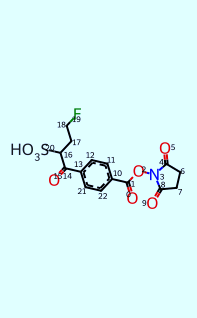 O=C(ON1C(=O)CCC1=O)c1ccc(C(=O)C(CCF)S(=O)(=O)O)cc1